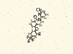 O=C1c2cccc(Oc3ccc(C(F)(F)F)cc3F)c2CCN1c1cccc(Cl)n1